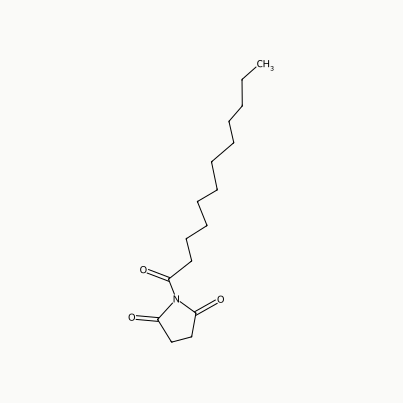 CCCCCCCCCCCC(=O)N1C(=O)CCC1=O